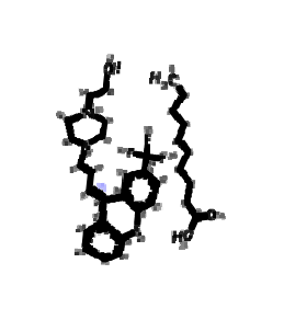 CCCCCCCCCC(=O)O.OCCN1CCN(CC/C=C2/c3ccccc3Sc3ccc(C(F)(F)F)cc32)CC1